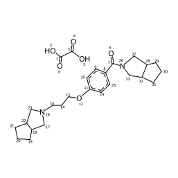 O=C(O)C(=O)O.O=C(c1ccc(OCCCN2CC3CCCC3C2)cc1)N1CC2CCCC2C1